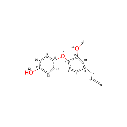 C=CCc1ccc(Oc2ccc(O)cc2)c(OC)c1